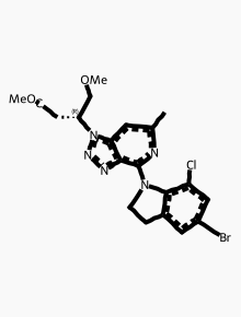 COCC[C@H](COC)n1nnc2c(N3CCc4cc(Br)cc(Cl)c43)nc(C)cc21